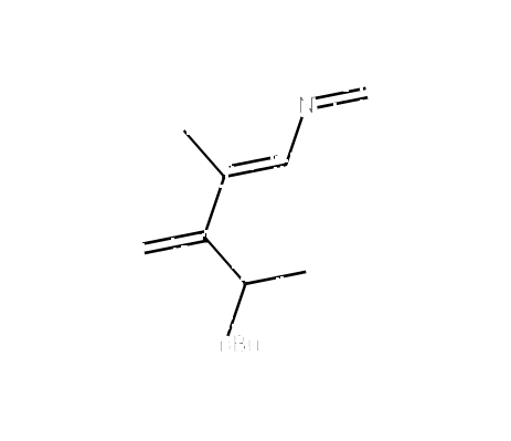 C=N/C=C(\C)C(=C)C(C)CCCC